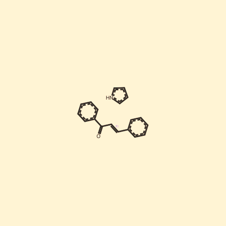 O=C(/C=C/c1ccccc1)c1ccccc1.c1cc[nH]c1